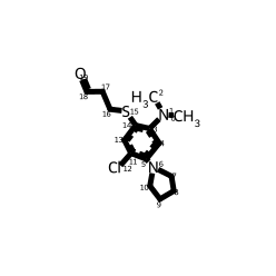 CN(C)c1cc(N2CCCC2)c(Cl)cc1SCCC=O